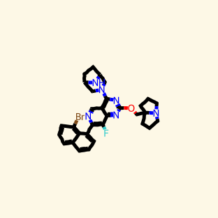 Fc1c(-c2cccc3cccc(Br)c23)ncc2c(N3CC4CCC(C3)N4)nc(OCC34CCCN3CCC4)nc12